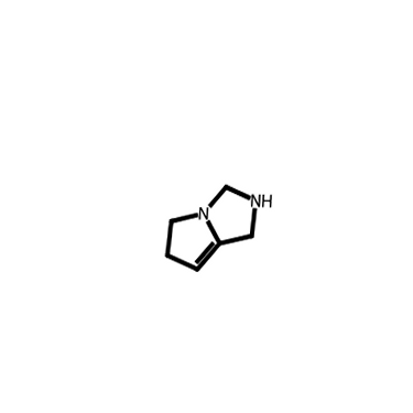 C1=C2CNCN2CC1